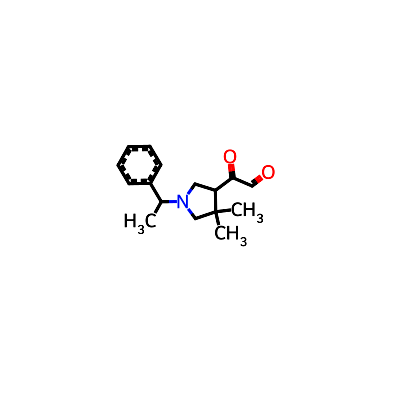 CC(c1ccccc1)N1CC(C(=O)C=O)C(C)(C)C1